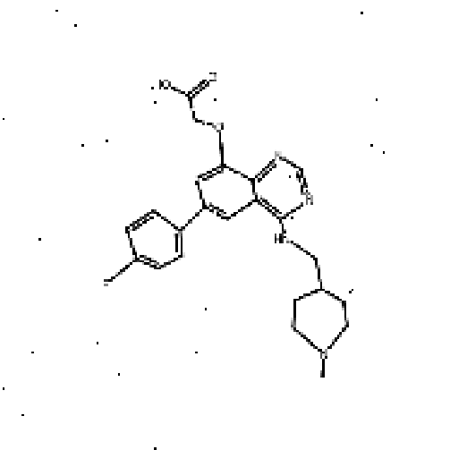 CN1CCC(CNc2ncnc3c(OCC(=O)O)cc(-c4ccc(F)cc4)cc23)CC1